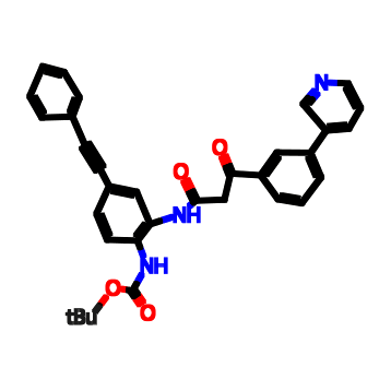 CC(C)(C)OC(=O)Nc1ccc(C#Cc2ccccc2)cc1NC(=O)CC(=O)c1cccc(-c2cccnc2)c1